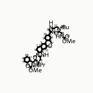 CCCN(Cc1nc2ccc3cc4c(cc3c2[nH]1)OCc1cc(-c2c[nH]c(CN(C(=O)CNC(=O)OC)[C@@H](C)CC)n2)ccc1-4)C(=O)[C@H](NC(=O)OC)c1ccccc1